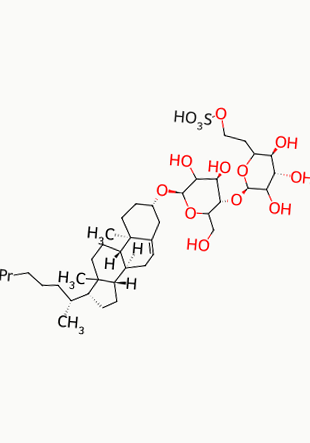 CC(C)CCC[C@@H](C)[C@H]1CC[C@H]2[C@@H]3CC=C4C[C@@H](O[C@@H]5OC(CO)[C@@H](O[C@H]6OC(CCOS(=O)(=O)O)[C@@H](O)[C@H](O)C6O)[C@H](O)C5O)CC[C@]4(C)[C@H]3CCC12C